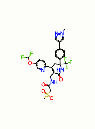 Cn1cc(-c2ccc([C@]3(C(F)(F)F)CC(c4ccc(OC(F)F)cn4)=C(CNC(=O)CS(C)(=O)=O)C(=O)N3)cc2)cn1